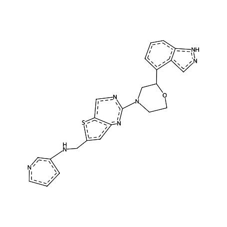 c1cncc(NCc2cc3nc(N4CCOC(c5cccc6[nH]ncc56)C4)ncc3s2)c1